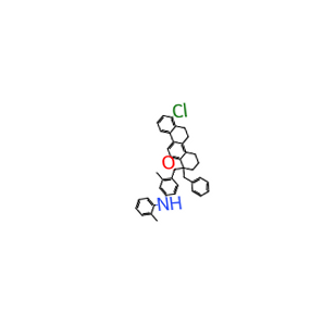 Cc1ccccc1Nc1ccc(C(=O)C2(Cc3ccccc3)CCCc3c2ccc2c3CCc3c(Cl)cccc3-2)c(C)c1